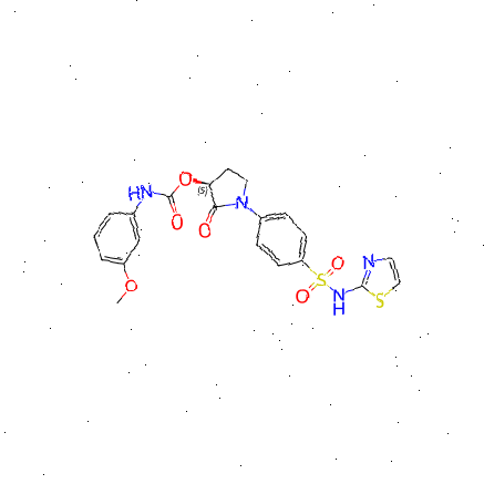 COc1cccc(NC(=O)O[C@H]2CCN(c3ccc(S(=O)(=O)Nc4nccs4)cc3)C2=O)c1